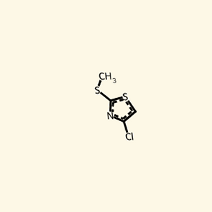 CSc1nc(Cl)cs1